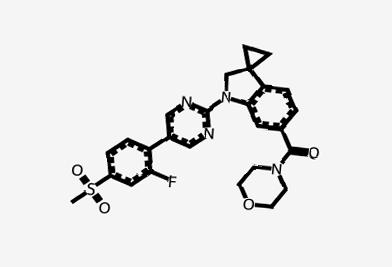 CS(=O)(=O)c1ccc(-c2cnc(N3CC4(CC4)c4ccc(C(=O)N5CCOCC5)cc43)nc2)c(F)c1